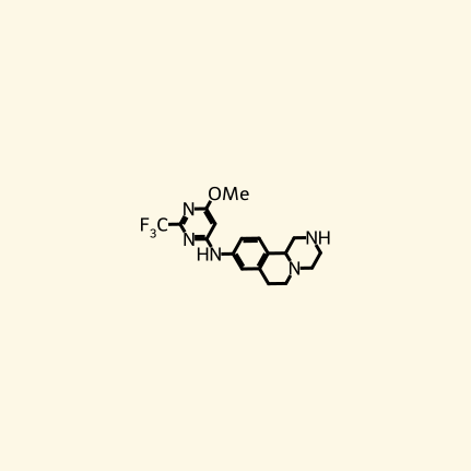 COc1cc(Nc2ccc3c(c2)CCN2CCNCC32)nc(C(F)(F)F)n1